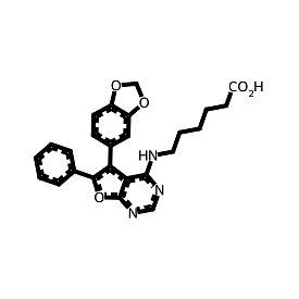 O=C(O)CCCCCNc1ncnc2oc(-c3ccccc3)c(-c3ccc4c(c3)OCO4)c12